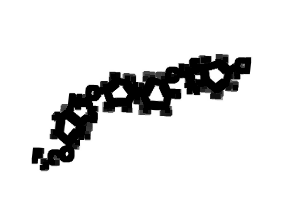 FC(F)(F)Oc1ccc2nc(Oc3ccc(-c4[c]ccc(Oc5nc6ccc(Cl)cc6s5)c4)cc3)sc2c1